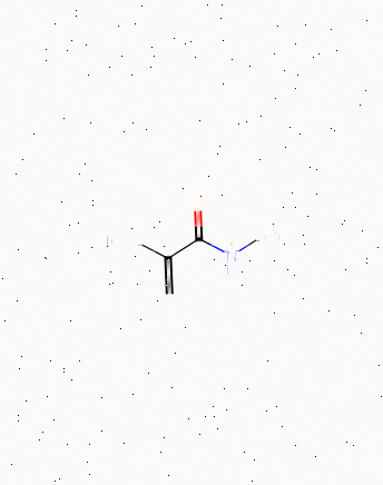 C=C(C(=O)NCCC)S(=O)(=O)O